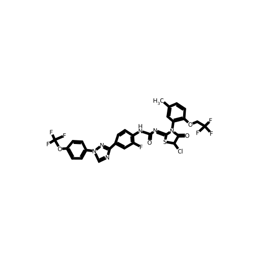 Cc1ccc(OCC(F)(F)F)c(N2C(=O)C(Cl)S/C2=N\C(=O)Nc2ccc(-c3ncn(-c4ccc(OC(F)(F)F)cc4)n3)cc2F)c1